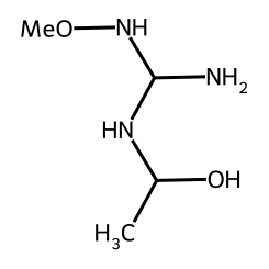 CONC(N)NC(C)O